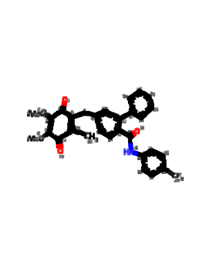 COC1=C(OC)C(=O)C(Cc2ccc(C(=O)Nc3ccc(C(F)(F)F)cc3)c(-c3ccccc3)c2)=C(C)C1=O